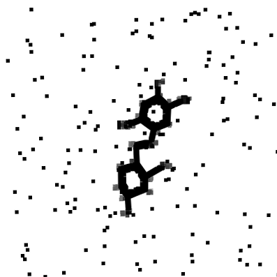 Oc1cc(F)c(Br)cc1N=Cc1ccc(F)cc1F